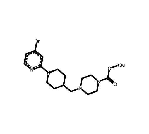 CC(C)(C)OC(=O)N1CCN(CC2CCN(c3cc(Br)ccn3)CC2)CC1